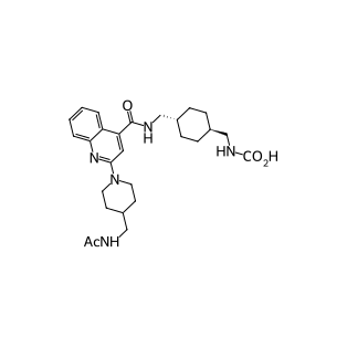 CC(=O)NCC1CCN(c2cc(C(=O)NC[C@H]3CC[C@H](CNC(=O)O)CC3)c3ccccc3n2)CC1